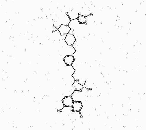 CC(C)c1nc(C(=O)N2CC(F)(F)OC3(CCN(Cc4cccc(CCNC[C@H](O[Si](C)(C)C(C)(C)C)c5ccc(O)c6[nH]c(=O)ccc56)c4)CC3)C2)cs1